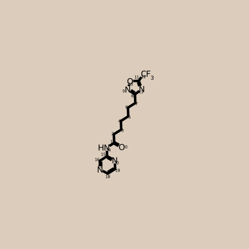 O=C(CCCCCCc1noc(C(F)(F)F)n1)Nc1cnccn1